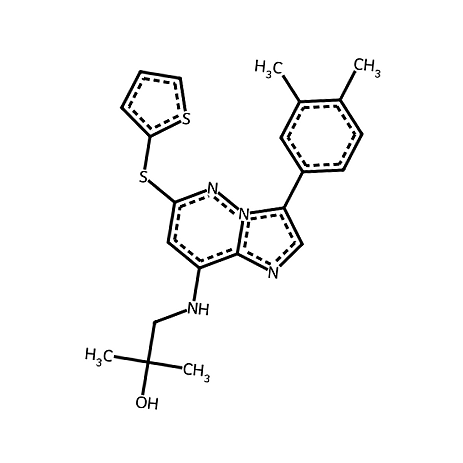 Cc1ccc(-c2cnc3c(NCC(C)(C)O)cc(Sc4cccs4)nn23)cc1C